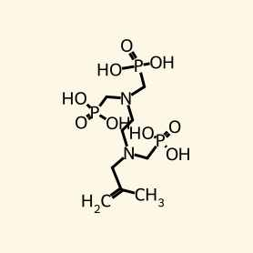 C=C(C)CN(CCN(CP(=O)(O)O)CP(=O)(O)O)CP(=O)(O)O